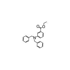 CCOC(=O)c1cccc(N(Cc2ccccc2)Cc2ccccc2)c1